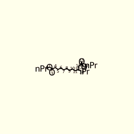 CCCOC(=O)CCCCCCCCC(CC(=O)OCCC)C(C)C